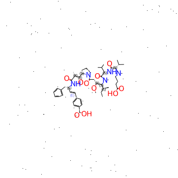 CC[C@H](C)[C@@H]([C@@H](CC(=O)N1CCC[C@H]1[C@H](OC)[C@@H](C)C(=O)N[C@H](/C=C/c1ccc(C(=O)O)cc1)Cc1ccccc1)OC)N(C)C(=O)[C@@H](NC(=O)[C@H](C(C)C)N(C)CCCC(=O)O)C(C)C